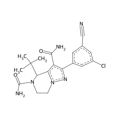 CC(C)(C)C1c2c(C(N)=O)c(-c3cc(Cl)cc(C#N)c3)nn2CCN1C(N)=O